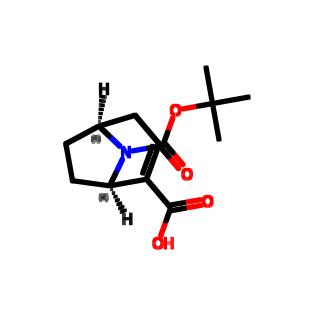 CC(C)(C)OC(=O)N1[C@@H]2CC=C(C(=O)O)[C@H]1CC2